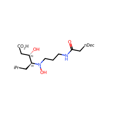 CCCCCCCCCCCC(=O)NCCCN(O)[C@@H](CC(C)C)[C@@H](O)CC(=O)O